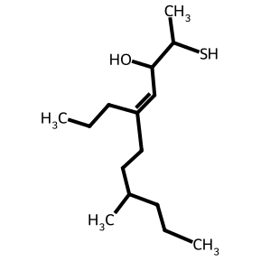 CCC/C(=C\C(O)C(C)S)CCC(C)CCC